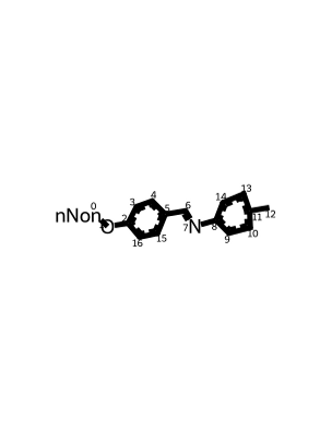 CCCCCCCCCOc1ccc(C=Nc2ccc(C)cc2)cc1